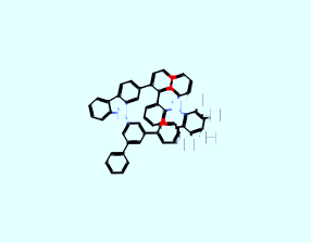 [2H]c1c([2H])c([2H])c(N(c2ccccc2)c2ccccc2-c2ccccc2-c2ccc3c4ccccc4n(-c4cc(-c5ccccc5)cc(-c5ccccc5)c4)c3c2)c([2H])c1[2H]